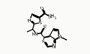 CC(NC(=O)c1ncnc2c1ccn2C)c1ncc(C(N)=O)s1